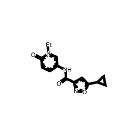 CCn1cc(NC(=O)c2cc(C3CC3)on2)ccc1=O